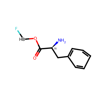 N[C@@H](Cc1ccccc1)C(=O)OBF